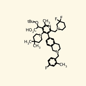 Cc1cc(F)ccc1CN1CCc2cc(-c3c(CN4CCCC(F)(F)C4)nc(C)c(C(OC(C)(C)C)C(=O)O)c3N3CCC(C)(C)CC3)ccc2C1